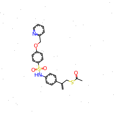 C=C(CSC(C)=O)c1ccc(NS(=O)(=O)c2ccc(OCc3ccccn3)cc2)cc1